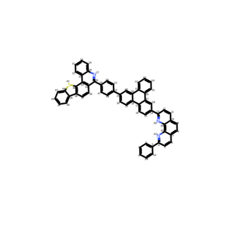 c1ccc(-c2ccc3ccc4ccc(-c5ccc6c7ccc(-c8ccc(-c9nc%10ccccc%10c%10c9ccc9c%11ccccc%11sc9%10)cc8)cc7c7ccccc7c6c5)nc4c3n2)cc1